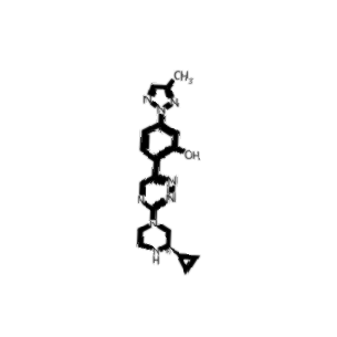 Cc1cnn(-c2ccc(-c3cnc(N4CCN[C@H](C5CC5)C4)nn3)c(O)c2)n1